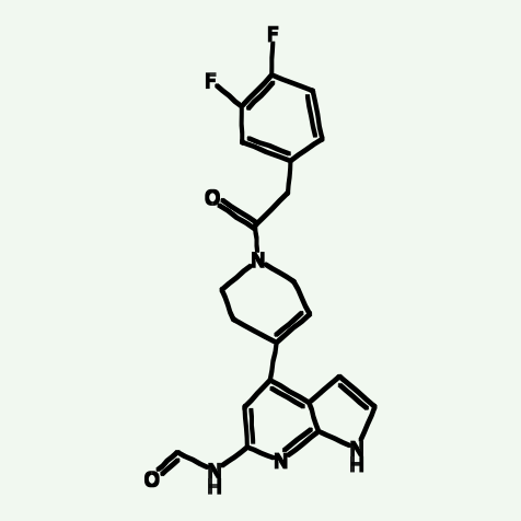 O=CNc1cc(C2=CCN(C(=O)Cc3ccc(F)c(F)c3)CC2)c2cc[nH]c2n1